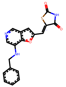 O=C1NC(=O)/C(=C/c2cc3cncc(NCc4ccccc4)c3o2)S1